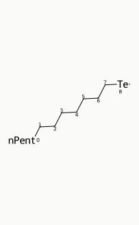 CCCCCCCCCCCC[Te]